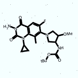 COC1CN(c2c(F)cc3c(=O)n(N)c(=O)n(C4CC4)c3c2C)CC1NC(=O)OC(C)(C)C